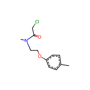 Cc1ccc(OCCN(C)C(=O)CCl)cc1